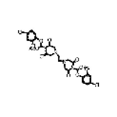 CC(=O)OC(Oc1ccc(Cl)cc1Cl)N1C(=O)CN(CCN2CC(=O)N(C(OC(C)=O)Oc3ccc(Cl)cc3Cl)C(=O)C2)CC1=O